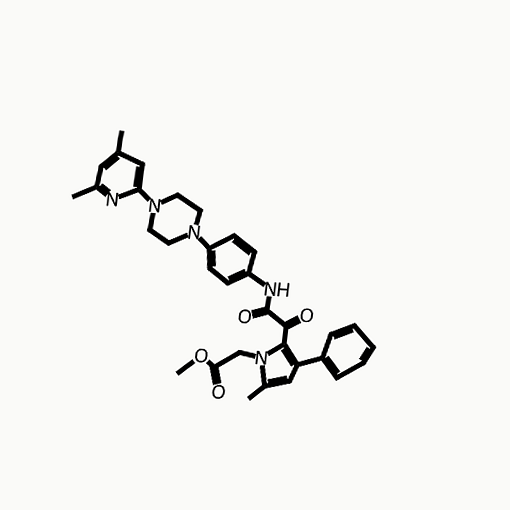 COC(=O)Cn1c(C)cc(-c2ccccc2)c1C(=O)C(=O)Nc1ccc(N2CCN(c3cc(C)cc(C)n3)CC2)cc1